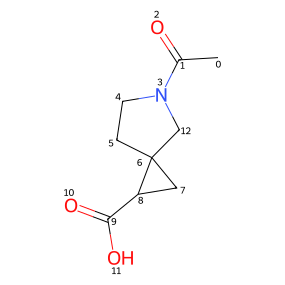 CC(=O)N1CCC2(CC2C(=O)O)C1